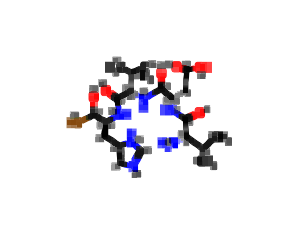 CC(C)[C@H](N)C(=O)N[C@@H](CC(=O)O)C(=O)N[C@H](C(=O)N[C@@H](Cc1cnc[nH]1)C(=O)S)C(C)C